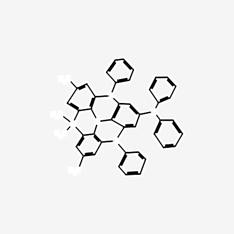 Cc1cc2c3c(c1)[Si](C)(C)c1cc(C)cc4c1B3c1c(cc(N(c3ccccc3)c3ccccc3)cc1N4c1ccccc1)N2c1ccccc1